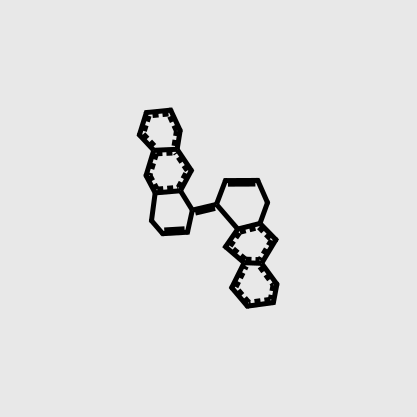 C1=CC(=C2C=CCc3cc4ccccc4cc32)c2cc3ccccc3cc2C1